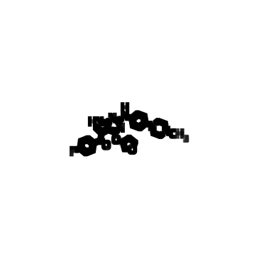 CN1CCN(c2ccc(Nc3nc(O[C@H]4CCOC4)c4c(C(=O)c5ccc(F)cc5)c[nH]c4n3)cc2)CC1